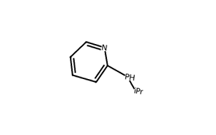 CC(C)Pc1ccccn1